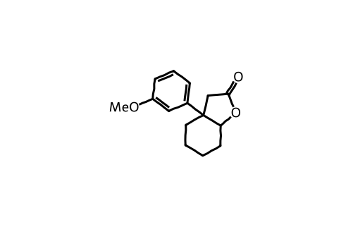 COc1cccc(C23CCCCC2OC(=O)C3)c1